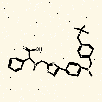 CN(Cc1ccc(CC(C)(C)C)cc1)c1ccc(-c2csc(CN(C)C(C(=O)O)c3ccccc3)n2)cc1